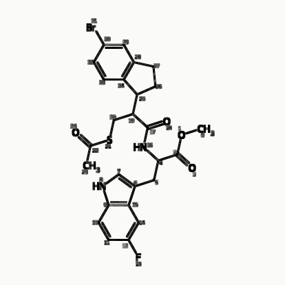 COC(=O)C(Cc1c[nH]c2ccc(F)cc12)NC(=O)C(CSC(C)=O)C1CCc2cc(Br)ccc21